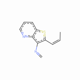 C=Nc1c(/C=C\C)sc2cccnc12